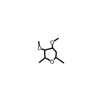 COC1CC(C)OC(C)C1OC